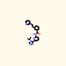 CC(C)n1cnnc1-c1cccc(NC(=O)c2cccc(/C=C/c3cccnc3)c2)n1